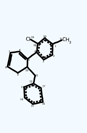 Cc1ccc(C2=CC=CCC2Cc2ccccc2)c(Cl)c1